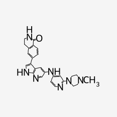 CN1CCN(c2cc(Nc3cnc4[nH]cc(-c5ccc6c(c5)CCNC6=O)c4c3)ccn2)CC1